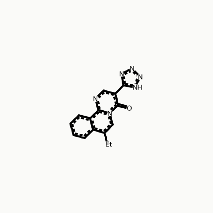 CCc1cn2c(=O)c(-c3nnn[nH]3)cnc2c2ccccc12